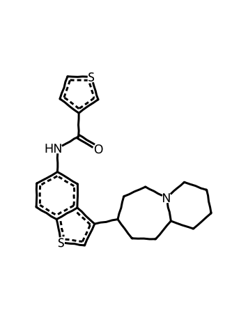 O=C(Nc1ccc2scc(C3CCC4CCCCN4CC3)c2c1)c1ccsc1